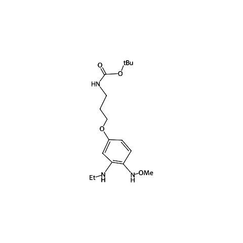 CCNc1cc(OCCCNC(=O)OC(C)(C)C)ccc1NOC